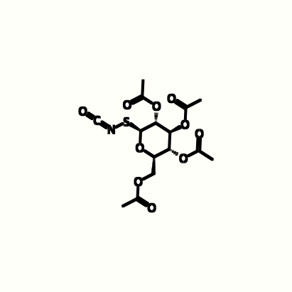 CC(=O)OC[C@H]1O[C@@H](SN=C=O)[C@H](OC(C)=O)[C@@H](OC(C)=O)[C@@H]1OC(C)=O